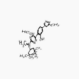 Cc1cc(-c2ccc(-c3cnc(N(C)C4CC(C)(C)NC(C)(C)C4)nn3)c(O)c2)cnn1.Cl.Cl